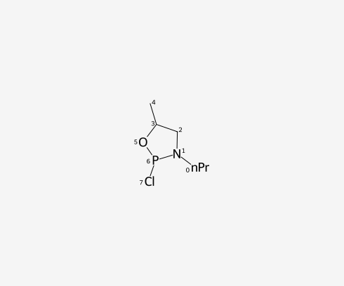 CCCN1CC(C)OP1Cl